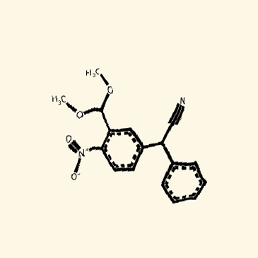 COC(OC)c1cc(C(C#N)c2ccccc2)ccc1[N+](=O)[O-]